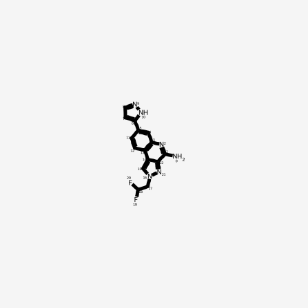 Nc1nc2cc(-c3ccn[nH]3)ccc2c2cn(CC(F)F)nc12